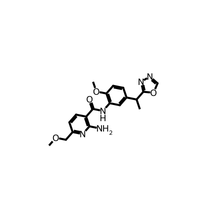 COCc1ccc(C(=O)Nc2cc(C(C)c3nnco3)ccc2OC)c(N)n1